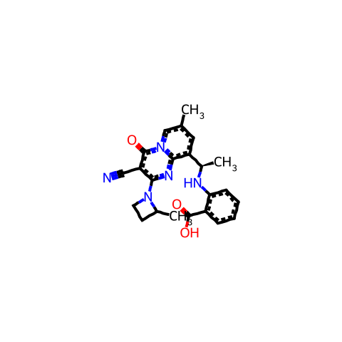 Cc1cc([C@@H](C)Nc2ccccc2C(=O)O)c2nc(N3CCC3C)c(C#N)c(=O)n2c1